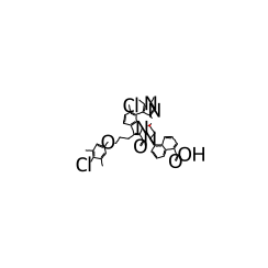 Cc1cc(OCCCc2c3n(c4c(-c5c(C)nn(C)c5C)c(Cl)ccc24)C(C)CN(c2cccc4c(C(=O)O)cccc24)C3=O)cc(C)c1Cl